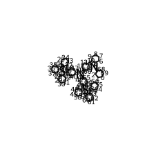 c1ccc(-n2c3ccccc3c3ccc(N(c4ccc([Si](c5ccccc5)(c5ccccc5)c5ccccc5)cc4)c4ccc([Si](c5ccccc5)(c5ccccc5)c5ccccc5)cc4)cc32)cc1